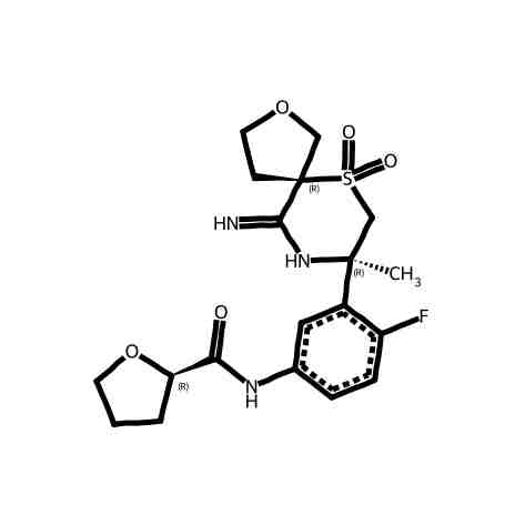 C[C@@]1(c2cc(NC(=O)[C@H]3CCCO3)ccc2F)CS(=O)(=O)[C@]2(CCOC2)C(=N)N1